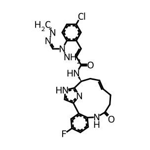 C=N/N=C\N(N)c1ccc(Cl)cc1/C=C/C(=O)N[C@H]1C/C=C/CCC(=O)Nc2ccc(F)cc2-c2c[nH]c1n2